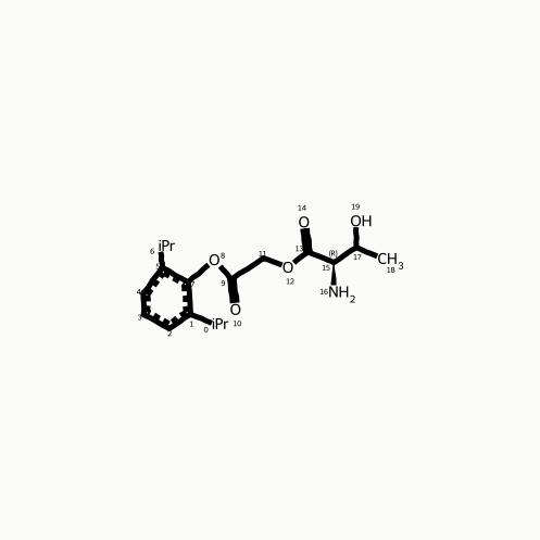 CC(C)c1cccc(C(C)C)c1OC(=O)COC(=O)[C@H](N)C(C)O